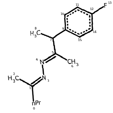 CCC/C(C)=N/N=C(\C)C(C)c1ccc(F)cc1